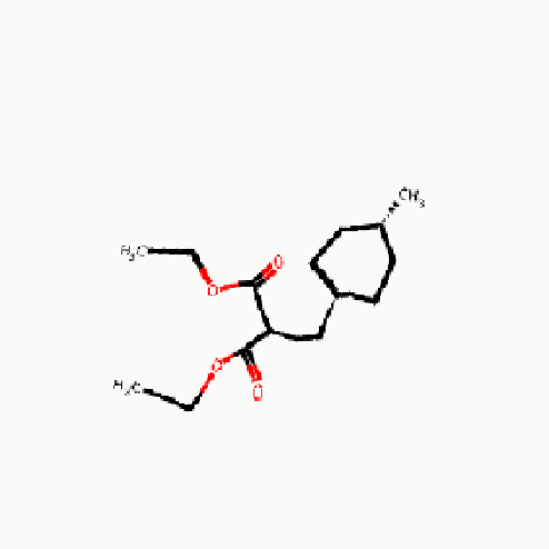 CCOC(=O)C(C[C@H]1CC[C@H](C)CC1)C(=O)OCC